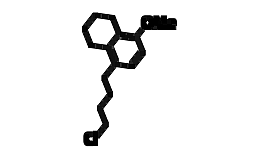 COc1ccc(CCCCCl)c2c1CCCC2